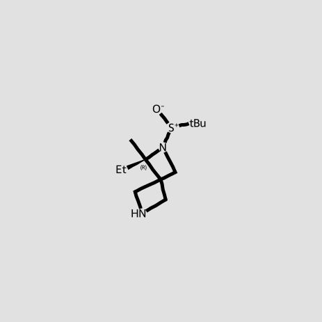 CC[C@@]1(C)N([S+]([O-])C(C)(C)C)CC12CNC2